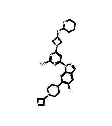 Cc1nc(N2CC(OC3CCCCO3)C2)cc(-n2ncc3cc(Cl)c(C4CCN(C5COC5)CC4)cc32)n1